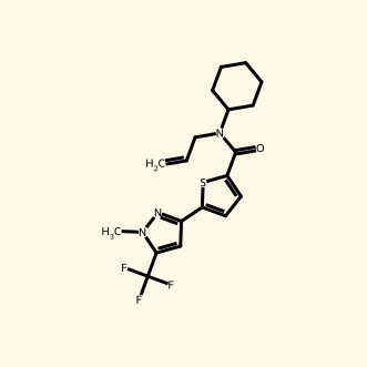 C=CCN(C(=O)c1ccc(-c2cc(C(F)(F)F)n(C)n2)s1)C1CCCCC1